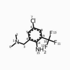 CN(C)Cc1cc(Cl)cc(C(F)(F)F)c1N